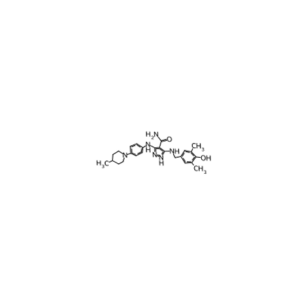 Cc1cc(CNc2[nH]nc(Nc3ccc(N4CCC(C)CC4)cc3)c2C(N)=O)cc(C)c1O